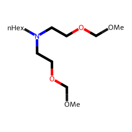 CCCCCCN(CCOCOC)CCOCOC